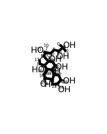 CC(C)(O)[C@H](O)C[C@@H](O)[C@](C)(O)[C@H]1CC[C@@]2(O)C3=CC(=O)[C@@H]4C[C@@H](O)[C@@H](O)C[C@]4(C)[C@H]3[C@H](O)C[C@]12C